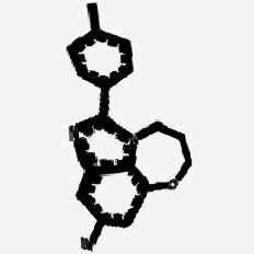 Cc1ccc(-c2nc3cc(Br)cc4c3n2CCCO4)cc1